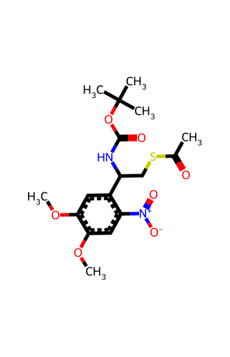 COc1cc(C(CSC(C)=O)NC(=O)OC(C)(C)C)c([N+](=O)[O-])cc1OC